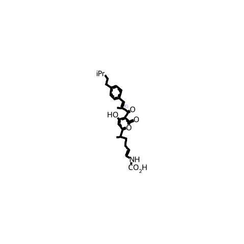 C/C(=C\c1ccc(CCC(C)C)cc1)C(=O)c1c(O)cc(C(C)CCC=CNC(=O)O)oc1=O